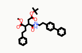 COC(=O)C(CCc1ccccc1)C(CC(=O)OC(C)(C)C)C(=O)NCCc1ccc(-c2ccccc2)cc1